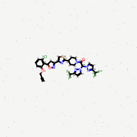 C#CCOc1cccc(Cl)c1C1CC(c2csc(C3CCN(C(=O)C(n4ccc(C(F)F)n4)n4ccc(C(F)F)n4)CC3)n2)=NO1